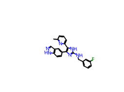 Cc1cccc(-c2[nH]c(NCc3cccc(F)c3)nc2-c2ccc3[nH]ncc3c2)n1